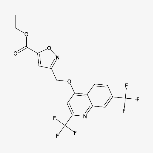 CCOC(=O)c1cc(COc2cc(C(F)(F)F)nc3cc(C(F)(F)F)ccc23)no1